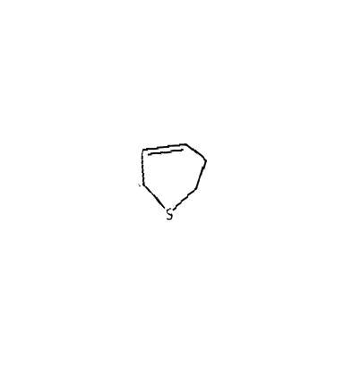 [CH]1C=CCCS1